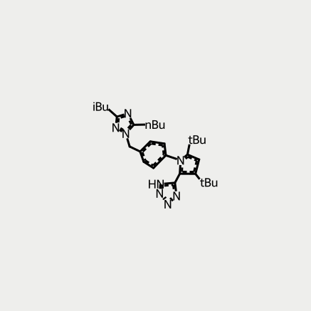 CCCCc1nc(C(C)CC)nn1Cc1ccc(-n2c(C(C)(C)C)cc(C(C)(C)C)c2-c2nnn[nH]2)cc1